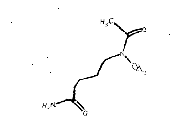 CC(=O)N(C)CCCC(N)=O